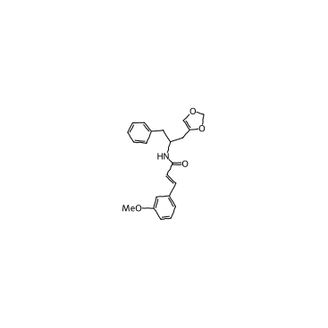 COc1cccc(C=CC(=O)NC(CC2=COCO2)Cc2ccccc2)c1